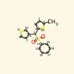 Cc1ccc(C(c2ccsc2)S(=O)(=O)c2ccccc2)s1